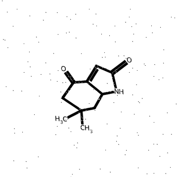 CC1(C)CC(=O)C2=CC(=O)NC2C1